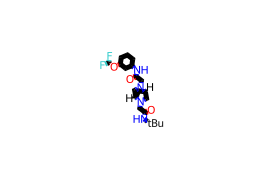 CC(C)(C)NC(=O)CN1C[C@@H]2C[C@H]1CN2CC(=O)NC1CCCC(OC(F)F)C1